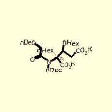 CCCCCCCCCCCC(=O)N(CCCCCCCCCC)[C@](CCCCCC)(C(=O)O)C(CCCCCC)CC(=O)O